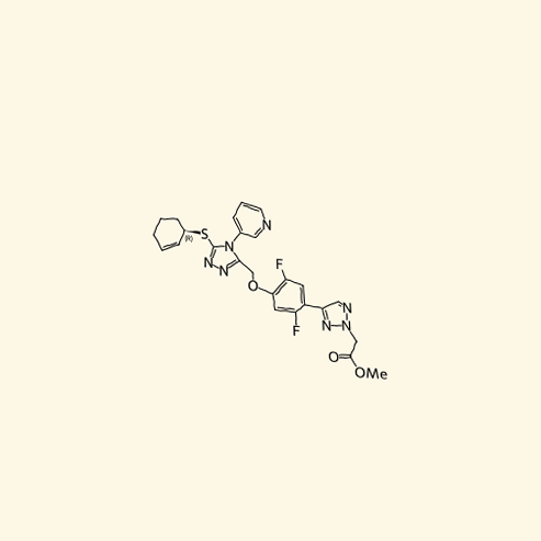 COC(=O)Cn1ncc(-c2cc(F)c(OCc3nnc(S[C@H]4C=CCCC4)n3-c3cccnc3)cc2F)n1